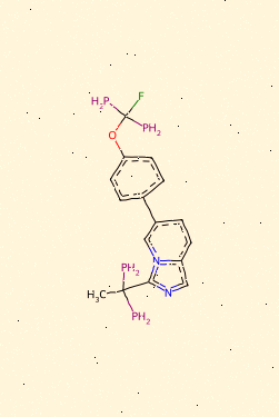 CC(P)(P)c1ncc2ccc(-c3ccc(OC(F)(P)P)cc3)cn12